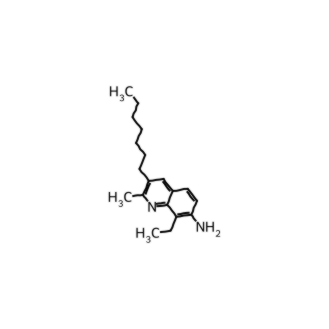 CCCCCCCc1cc2ccc(N)c(CC)c2nc1C